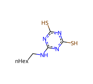 CCCCCCCNc1nc(S)nc(S)n1